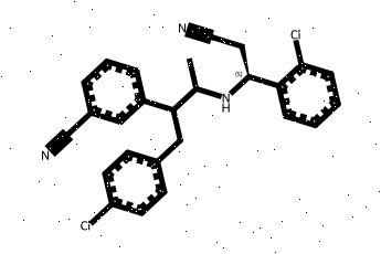 CC(N[C@@H](CC#N)c1ccccc1Cl)C(Cc1ccc(Cl)cc1)c1cccc(C#N)c1